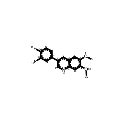 COc1cc2cc(-c3ccc(F)c(F)c3)cnc2cc1OC